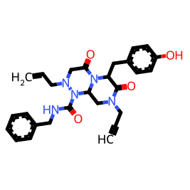 C#CCN1CC2N(C(=O)CN(CC=C)N2C(=O)NCc2ccccc2)C(Cc2ccc(O)cc2)C1=O